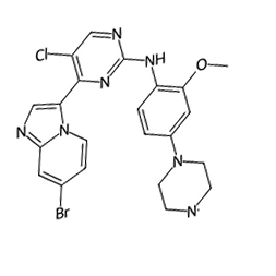 COc1cc(N2CC[N]CC2)ccc1Nc1ncc(Cl)c(-c2cnc3cc(Br)ccn23)n1